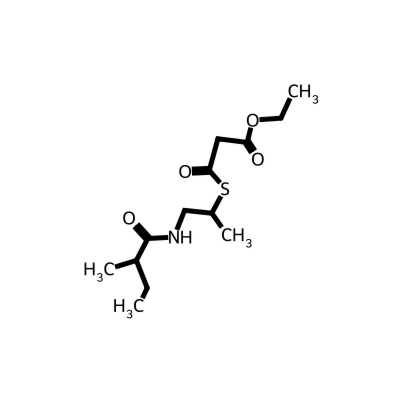 CCOC(=O)CC(=O)SC(C)CNC(=O)C(C)CC